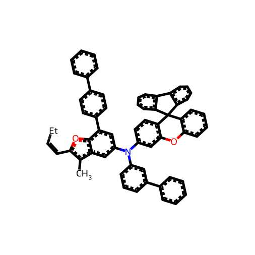 CC/C=C\c1oc2c(-c3ccc(-c4ccccc4)cc3)cc(N(c3cccc(-c4ccccc4)c3)c3ccc4c(c3)Oc3ccccc3C43c4ccccc4-c4ccccc43)cc2c1C